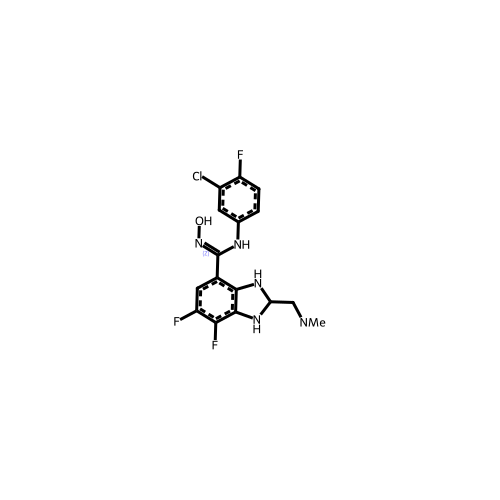 CNCC1Nc2c(/C(=N/O)Nc3ccc(F)c(Cl)c3)cc(F)c(F)c2N1